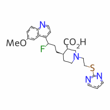 COc1ccc2nccc(C(F)CC[C@@H]3CCN(CCSc4ncccn4)C[C@@H]3C(=O)O)c2c1